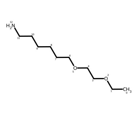 CCOCCOCCCCCCN